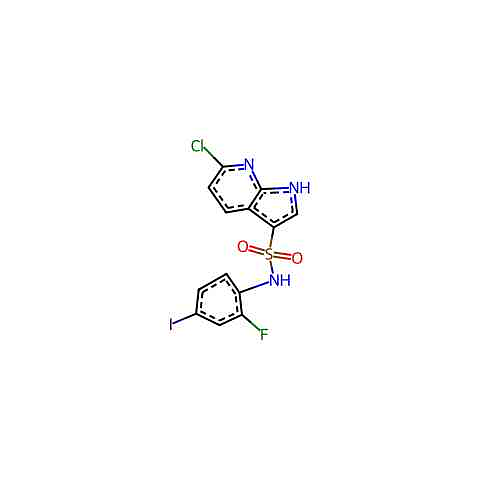 O=S(=O)(Nc1ccc(I)cc1F)c1c[nH]c2nc(Cl)ccc12